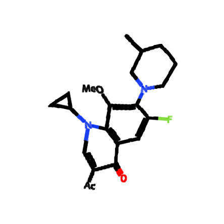 COc1c(N2CCCC(C)C2)c(F)cc2c(=O)c(C(C)=O)cn(C3CC3)c12